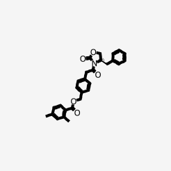 Cc1ccc(C(=O)OCc2ccc(CC(=O)N3C(=O)OC[C@H]3Cc3ccccc3)cc2)c(C)c1